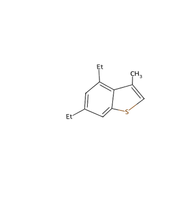 CCc1cc(CC)c2c(C)csc2c1